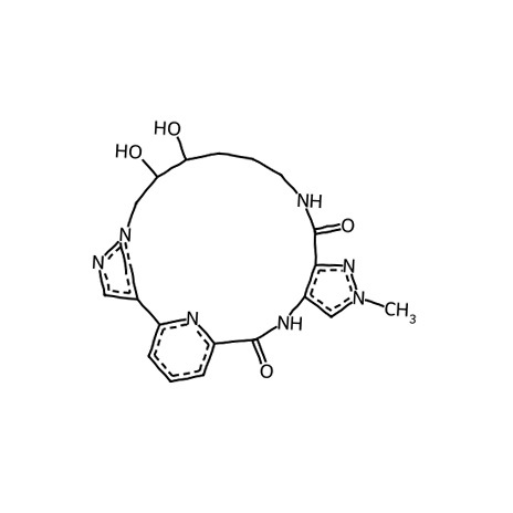 Cn1cc2c(n1)C(=O)NCCCC(O)C(O)Cn1cc(cn1)-c1cccc(n1)C(=O)N2